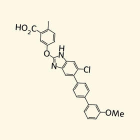 COc1cccc(-c2ccc(-c3cc4nc(Oc5ccc(C)c(C(=O)O)c5)[nH]c4cc3Cl)cc2)c1